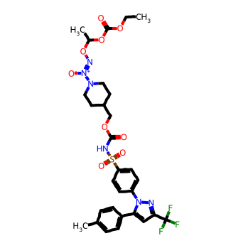 CCOC(=O)OC(C)O/N=[N+](\[O-])N1CCC(COC(=O)NS(=O)(=O)c2ccc(-n3nc(C(F)(F)F)cc3-c3ccc(C)cc3)cc2)CC1